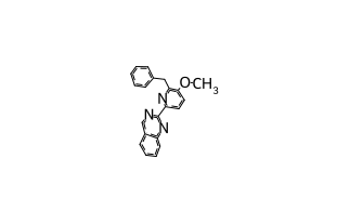 COc1ccc(-c2ncc3ccccc3n2)nc1Cc1ccccc1